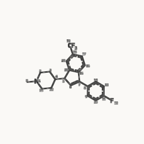 CN1CCC(C2C=C(c3ccc(F)cc3)c3ccc(C(F)(F)F)cc32)CC1